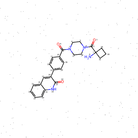 NC1(C(=O)N2CCN(C(=O)c3ccc(-c4cc5ccccc5[nH]c4=O)cc3)CC2)CCC1